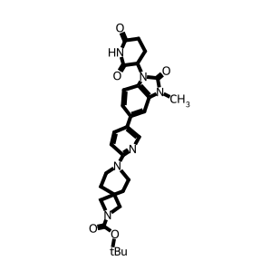 Cn1c(=O)n(C2CCC(=O)NC2=O)c2ccc(-c3ccc(N4CCC5(CC4)CN(C(=O)OC(C)(C)C)C5)nc3)cc21